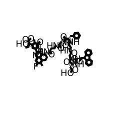 CC[C@@]1(O)C(=O)OCc2c1cc1n(c2=O)Cc2c-1nc1cc(F)c(C)c3c1c2[C@@H](NC(=O)CCNC(=O)CNC(=O)[C@H](Cc1ccccc1)NC(=O)CNC(=O)CNC(=O)[C@H](CC(=O)O)NC(=O)OCC1c2ccccc2-c2ccccc21)CC3